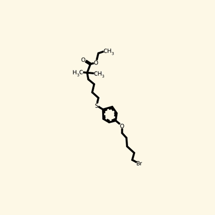 CCOC(=O)C(C)(C)CCCCSc1ccc(OCCCCCBr)cc1